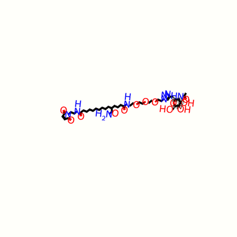 CC(=O)N[C@@H]1[C@@H](O)[C@@H](O)[C@@H](CO)O[C@@H]1Cc1cn(CCOCCOCCOCCNC(=O)CCCC(CCCCCCCCCC(=O)NCCN2C(=O)C=CC2=O)C(N)=O)nn1